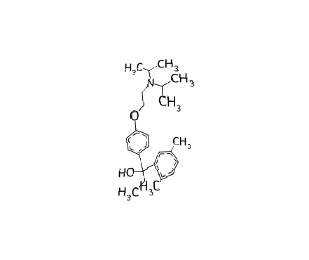 CCC(O)(c1ccc(OCCN(C(C)C)C(C)C)cc1)c1cc(C)ccc1C